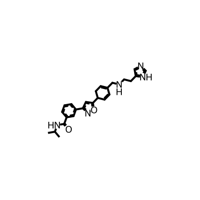 CC(C)NC(=O)c1cccc(-c2cc(C3C=CC(CNCCc4cnc[nH]4)=CC3)on2)c1